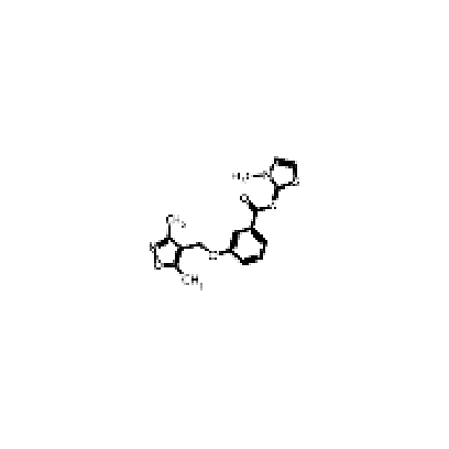 Cc1noc(C)c1COc1cccc(C(=O)/N=c2/sccn2C)c1